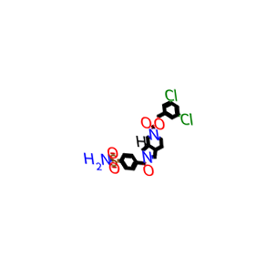 NS(=O)(=O)c1ccc(C(=O)N2CC3CCN(C(=O)OCc4cc(Cl)cc(Cl)c4)C[C@@H]3C2)cc1